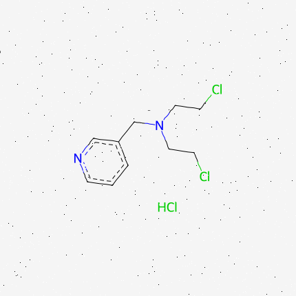 Cl.ClCCN(CCCl)Cc1cccnc1